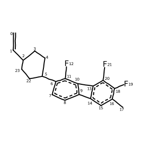 C=CC1CCC(c2ccc3c(c2F)-c2c-3cc(C)c(F)c2F)CC1